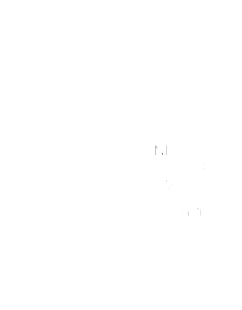 CCCS(=O)(=O)Nc1c[c]ccc1